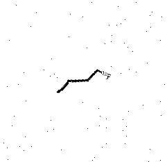 CCCC[19F]